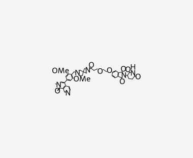 COc1cc(-c2cn(C)c(=O)c3cnccc23)cc(OC)c1CN1CCC2(C1)CN(C(=O)CCOCCOc1ccc3c(c1)C(=O)N(C1CCC(=O)NC1=O)C3=O)C2